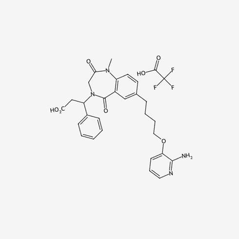 CN1C(=O)CN(C(CC(=O)O)c2ccccc2)C(=O)c2cc(CCCCOc3cccnc3N)ccc21.O=C(O)C(F)(F)F